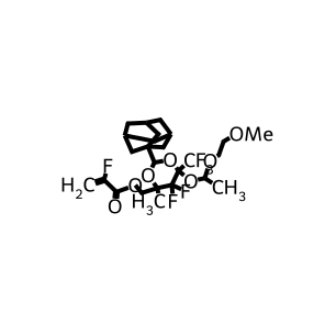 C=C(F)C(=O)OCC1(C)OC(C23CC4CC(CC(C4)C2)C3)OC(OC(C)OCCOC)(C(F)(F)F)C1(F)F